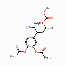 CCCC(C)C(=O)Oc1ccc(C(CC(C)OC(=O)OC(C)CC)[C@H](N)C(=O)O)cc1OC(=O)C(C)CCC